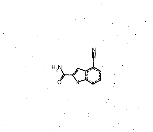 N#Cc1cccc2c1C=C(C(N)=O)[N]2